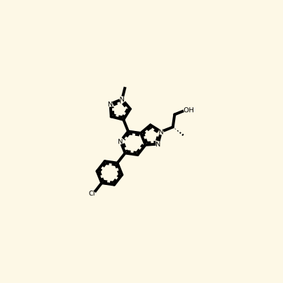 C[C@@H](CO)n1cc2c(-c3cnn(C)c3)nc(-c3ccc(Cl)cc3)cc2n1